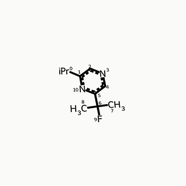 CC(C)c1cncc(C(C)(C)F)n1